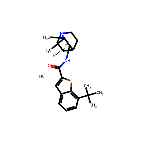 CC(C)(C)c1cccc2cc(C(=O)N[C@@H]3C4CCN(CC4)C3(C)C)sc12.Cl